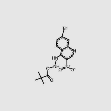 CC(C)(C)C(=O)ONNc1c([N+](=O)[O-])cnc2cc(Br)ccc12